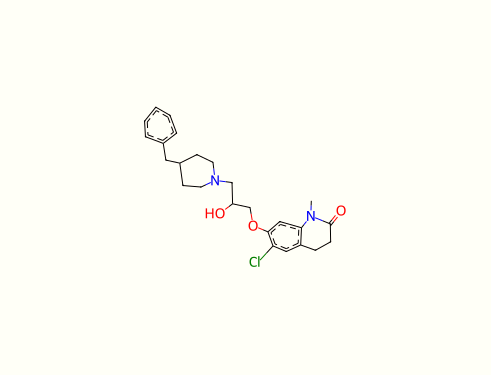 CN1C(=O)CCc2cc(Cl)c(OCC(O)CN3CCC(Cc4ccccc4)CC3)cc21